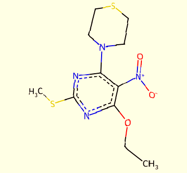 CCOc1nc(SC)nc(N2CCSCC2)c1[N+](=O)[O-]